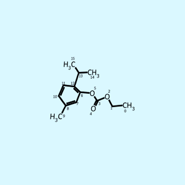 CCOC(=O)Oc1cc(C)ccc1C(C)C